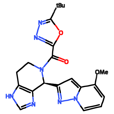 COc1cccn2nc([C@H]3c4nc[nH]c4CCN3C(=O)c3nnc(C(C)(C)C)o3)cc12